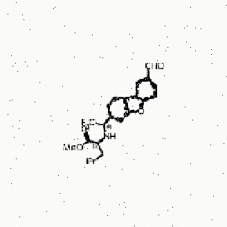 COC(=O)[C@H](CC(C)C)N[C@H](c1ccc2c(c1)oc1ccc(C=O)cc12)C(F)(F)F